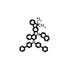 CC1(C)c2ccccc2-c2cc3c4c5ccccc5c(N(c5ccc(-c6ccccc6)cc5)c5ccc(-c6ccccc6)cc5)cc4n(-c4ccc5ccccc5c4)c3cc21